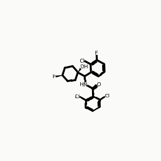 O=C(NC(c1cccc(F)c1Cl)[C@]1(O)CC[C@@H](F)CC1)c1c(Cl)cccc1Cl